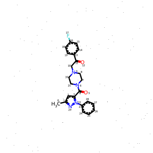 Cc1cc(C(=O)N2CCN(CC(=O)c3ccc(F)cc3)CC2)n(-c2ccccc2)n1